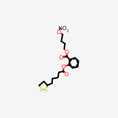 O=C(CCCCC1CCSS1)Oc1ccccc1C(=O)OCCCCO[N+](=O)[O-]